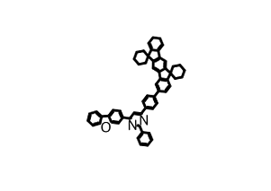 C1=C2C(=CCC1)C1(CCCCC1)c1cc3c(cc12)C1(CCCCC1)c1ccc(-c2ccc(-c4cc(-c5ccc6c(c5)oc5ccccc56)nc(-c5ccccc5)n4)cc2)cc1-3